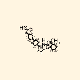 CC(OC(=O)NC1CCCN1c1ccc(-c2ccc(CC(=O)O)cc2)cc1)c1ccccc1